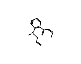 C=CCN(C)c1c#cccc1C(=C)/C=C\C